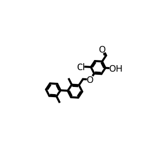 Cc1ccccc1-c1cccc(COc2cc(O)c(C=O)cc2Cl)c1C